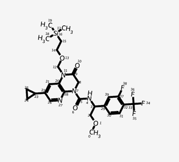 COCC(NC(=O)N1CC(=O)N(COCC[Si](C)(C)C)c2cc(C3CC3)cnc21)c1ccc(C(F)(F)F)c(F)c1